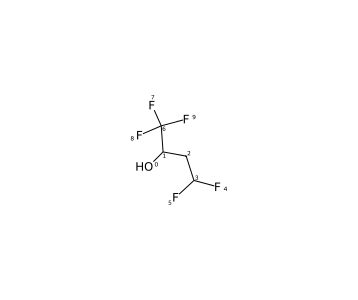 OC(CC(F)F)C(F)(F)F